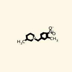 Cc1cc(CN2CCCC(C)C2)ccc1[N+](=O)[O-]